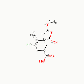 COCCC1(C(=O)O)CC(C(=O)O)=CC(Cl)=C1C